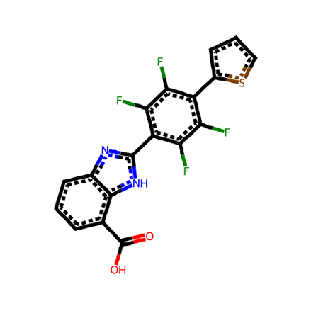 O=C(O)c1cccc2nc(-c3c(F)c(F)c(-c4cccs4)c(F)c3F)[nH]c12